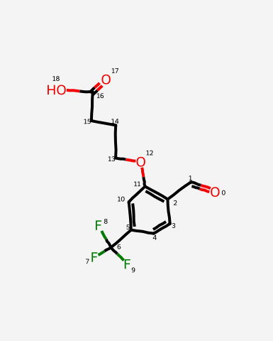 O=Cc1ccc(C(F)(F)F)cc1OCCCC(=O)O